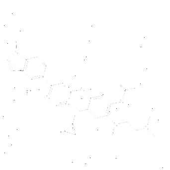 CN(C)CCN(C)c1cc(OC2CC2)c(Nc2cc(-c3ccc4c(ccn4C)c3)ncn2)cc1NC(=O)C(F)(F)F